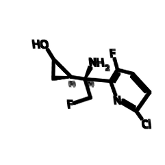 N[C@](CF)(c1nc(Cl)ccc1F)[C@H]1CC1O